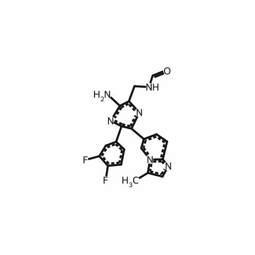 Cc1cnc2ccc(-c3nc(CNC=O)c(N)nc3-c3ccc(F)c(F)c3)cn12